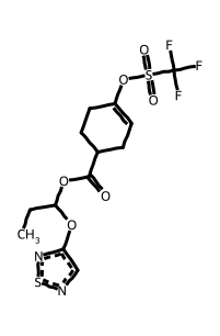 CCC(OC(=O)C1CC=C(OS(=O)(=O)C(F)(F)F)CC1)Oc1cnsn1